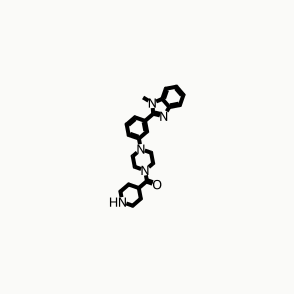 Cn1c(-c2cccc(N3CCN(C(=O)C4CCNCC4)CC3)c2)nc2ccccc21